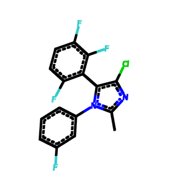 Cc1nc(Cl)c(-c2c(F)ccc(F)c2F)n1-c1cccc(F)c1